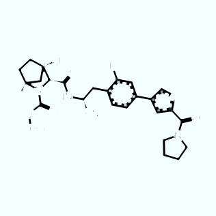 CC(C)(C)OC(=O)N1[C@@H]2CC[C@@H](C2)[C@H]1C(=O)N[C@H](C#N)Cc1ccc(-c2csc(C(=O)N3CCCC3)c2)cc1F